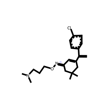 C=C(C1=C/C(=N/OCCCN(C)C)CC(C)(C)C1)c1ccc(Cl)cc1